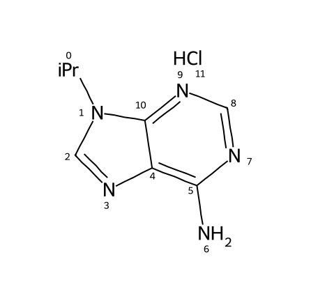 CC(C)n1cnc2c(N)ncnc21.Cl